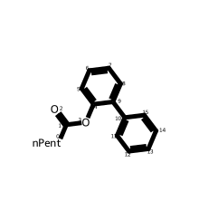 CCCCCC(=O)Oc1ccccc1-c1ccccc1